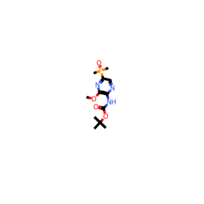 COc1nc(P(C)(C)=O)cnc1NC(=O)OC(C)(C)C